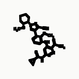 COc1c(Nc2cc(NC(=O)C3CC3)nnc2C(N)=O)cccc1-c1cn([C@@H]2CCCC[C@@H]2OC)nc1C#N